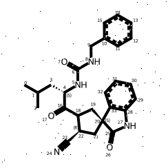 CC(C)C[C@H](NC(=O)NCc1ccccc1)C(=O)C1C[C@]2(C[C@H]1C#N)C(=O)Nc1ccccc12